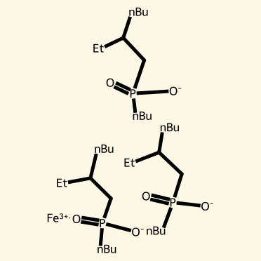 CCCCC(CC)CP(=O)([O-])CCCC.CCCCC(CC)CP(=O)([O-])CCCC.CCCCC(CC)CP(=O)([O-])CCCC.[Fe+3]